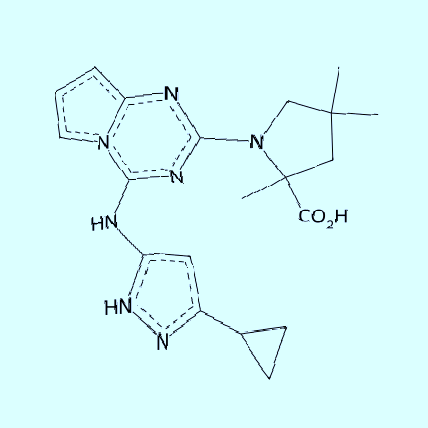 CC1(C)CN(c2nc(Nc3cc(C4CC4)n[nH]3)n3cccc3n2)C(C)(C(=O)O)C1